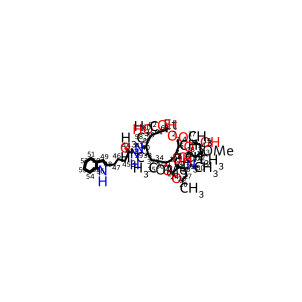 CC[C@H]1OC(=O)[C@H](C)[C@@H](OC2C[C@@](C)(OC)[C@@H](O)[C@H](C)O2)[C@H](C)[C@@H](OC2OC(C)CC(N(C)C)C2O)[C@](C)(OC)C[C@@H](C)/C(=N\NC(=O)CCCc2cc3ccccc3[nH]2)[C@H](C)[C@@H](O)[C@]1(C)O